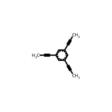 CC#Cc1[c]c(C#CC)cc(C#CC)c1